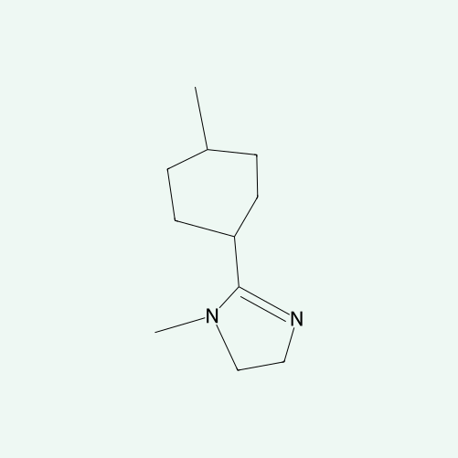 CC1CCC(C2=NCCN2C)CC1